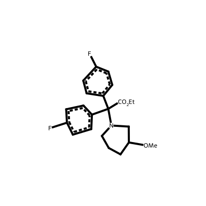 CCOC(=O)C(c1ccc(F)cc1)(c1ccc(F)cc1)N1CCCC(OC)C1